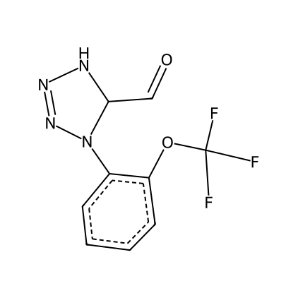 O=CC1NN=NN1c1ccccc1OC(F)(F)F